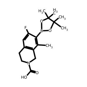 Cc1c2c(cc(F)c1B1OC(C)(C)C(C)(C)O1)CCN(C(=O)O)C2